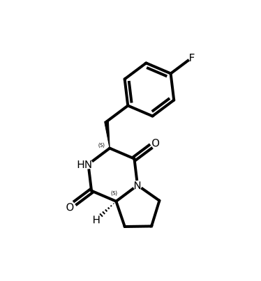 O=C1N[C@@H](Cc2ccc(F)cc2)C(=O)N2CCC[C@@H]12